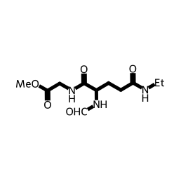 CCNC(=O)CCC(NC=O)C(=O)NCC(=O)OC